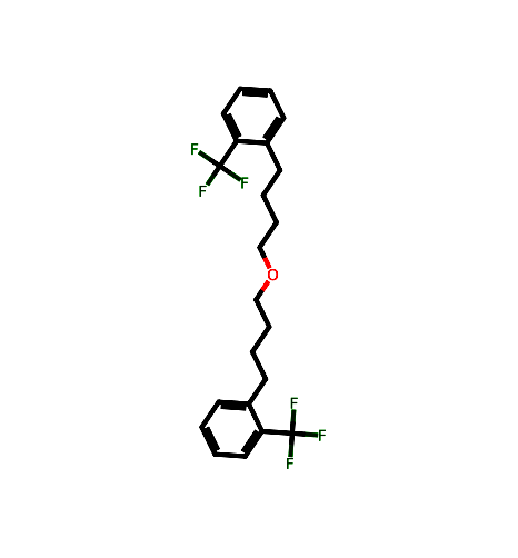 FC(F)(F)c1ccccc1CCCCOCCCCc1ccccc1C(F)(F)F